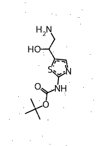 CC(C)(C)OC(=O)Nc1ncc(C(O)CN)s1